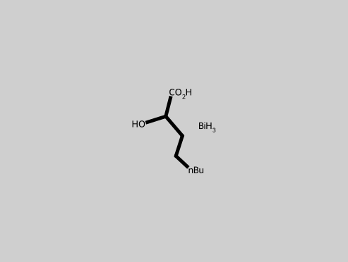 CCCCCCC(O)C(=O)O.[BiH3]